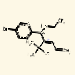 C=C/C=C(/[C@H](NCC(F)(F)F)c1ccc(Br)cn1)C(C)(C)CC